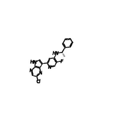 C[C@H](Nc1cc(-c2c[nH]c3ncc(Cl)nc23)ncc1F)c1ccccc1